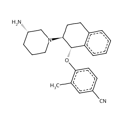 Cc1cc(C#N)ccc1O[C@H]1c2ccccc2CC[C@@H]1N1CCC[C@H](N)C1